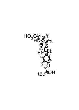 CCC(CC)(c1ccc(OCC(O)C(C)(C)C)c(C)c1)C(C)SC(=C(C)C)S(=O)(=O)NCC(=O)O